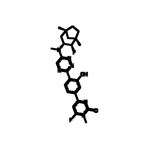 CN(c1cnc(-c2ccc(-c3cc(F)n(C)c(=O)n3)cc2O)nn1)[C@H]1C[C@]2(C)CC[C@@](C)(C2)[C@H]1F